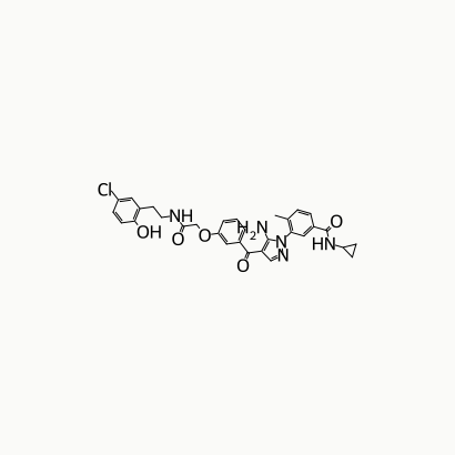 Cc1ccc(C(=O)NC2CC2)cc1-n1ncc(C(=O)c2cccc(OCC(=O)NCCc3cc(Cl)ccc3O)c2)c1N